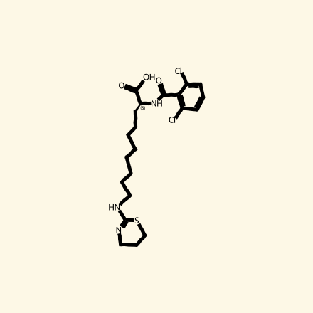 O=C(N[C@@H](CCCCCCCCNC1=NCCCS1)C(=O)O)c1c(Cl)cccc1Cl